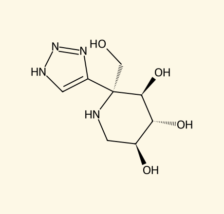 OC[C@@]1(c2c[nH]nn2)NC[C@H](O)[C@@H](O)[C@@H]1O